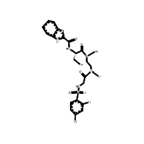 CCN(CCN(C(=O)[C@H](CC(C)C)NC(=O)c1nc2ccccc2[nH]1)C(C)C)C(=O)CNS(=O)(=O)c1ccc(Cl)cc1Cl